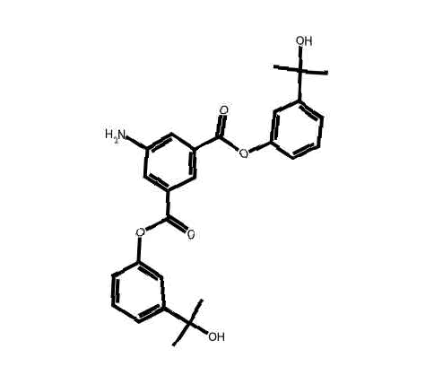 CC(C)(O)c1cccc(OC(=O)c2cc(N)cc(C(=O)Oc3cccc(C(C)(C)O)c3)c2)c1